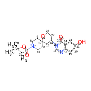 CC(C)(C)OC(=O)N1CCC2(CC1)CC(n1cnc3ccc(O)cc3c1=O)CCO2